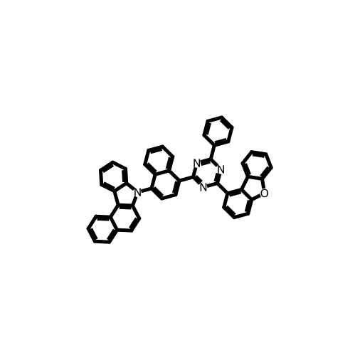 c1ccc(-c2nc(-c3ccc(-n4c5ccccc5c5c6ccccc6ccc54)c4ccccc34)nc(-c3cccc4oc5ccccc5c34)n2)cc1